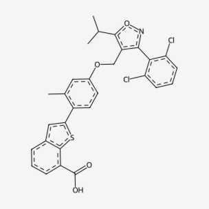 Cc1cc(OCc2c(-c3c(Cl)cccc3Cl)noc2C(C)C)ccc1-c1cc2cccc(C(=O)O)c2s1